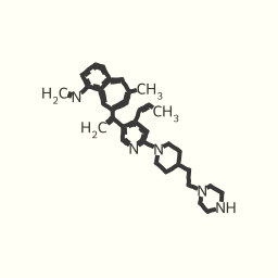 C=Nc1cccc2c1=CC(C(=C)c1cnc(N3CCC(CCN4CCNCC4)CC3)cc1/C=C\C)=C=C(C)C=2